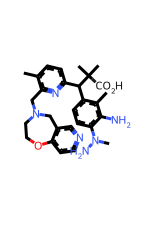 Cc1ccc(C(c2ccc(N(C)N)c(N)c2C)C(C)(C)C(=O)O)nc1CN1CCOc2ccncc2C1